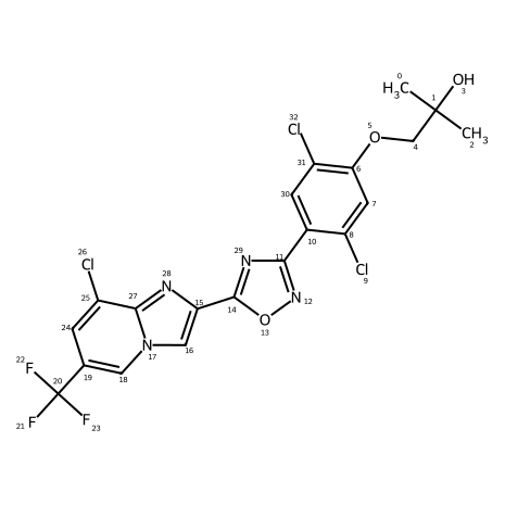 CC(C)(O)COc1cc(Cl)c(-c2noc(-c3cn4cc(C(F)(F)F)cc(Cl)c4n3)n2)cc1Cl